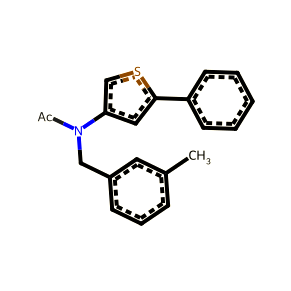 CC(=O)N(Cc1cccc(C)c1)c1csc(-c2ccccc2)c1